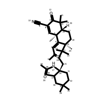 CC(=O)/C=C1/[C@@]2(C)C=C(C#N)C(=O)C(C)(C)[C@@H]2CC[C@@]1(C)C(C)(C)CC[C@@]1(NC(C)=O)CCC(C)(C)CC1C